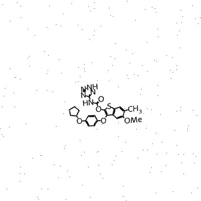 COc1cc2c(Oc3ccc(OC4CCCC4)cc3)c(OC(=O)Nc3nn[nH]n3)sc2cc1C